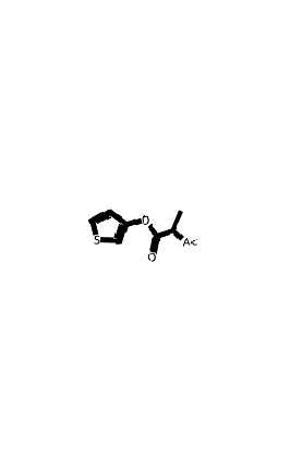 CC(=O)C(C)C(=O)Oc1ccsc1